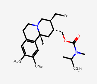 COc1cc2c(cc1OC)[C@H]1C[C@@H](COC(=O)N(C)C(C)C(=O)O)[C@H](CC(C)C)CN1CC2